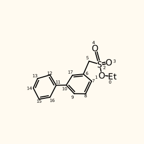 CCOS(=O)(=O)Cc1cccc(-c2ccccc2)c1